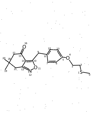 CSCCOc1ccc(Cc2onc3c2C(=O)CC(C)(C)C3)cc1